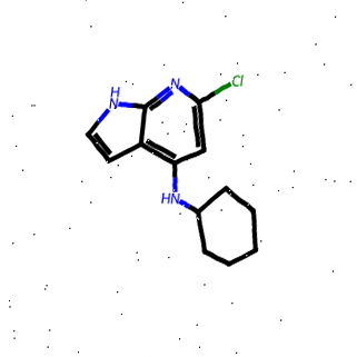 Clc1cc(NC2CCCCC2)c2cc[nH]c2n1